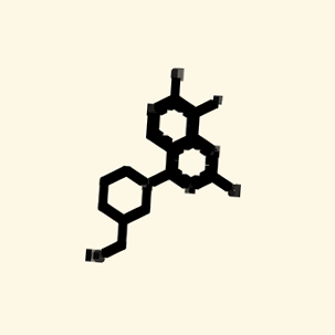 OCC1CCCN(c2nc(Cl)nc3c(F)c(Cl)ncc23)C1